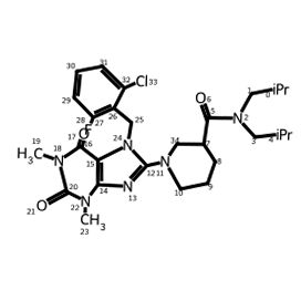 CC(C)CN(CC(C)C)C(=O)C1CCCN(c2nc3c(c(=O)n(C)c(=O)n3C)n2Cc2c(F)cccc2Cl)C1